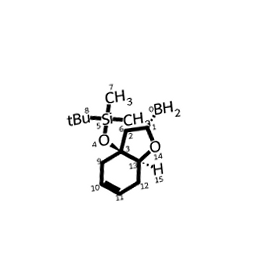 B[C@H]1C[C@@]2(O[Si](C)(C)C(C)(C)C)CC=CC[C@@H]2O1